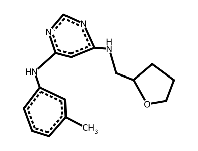 Cc1cccc(Nc2cc(NCC3CCCO3)ncn2)c1